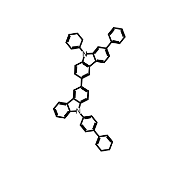 C1=CCCC(n2c3ccc(-c4ccc5c(c4)c4ccccc4n5-c4ccc(C5=CCCC=C5)cc4)cc3c3ccc(-c4ccccc4)cc32)=C1